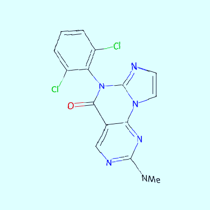 CNc1ncc2c(=O)n(-c3c(Cl)cccc3Cl)c3nccn3c2n1